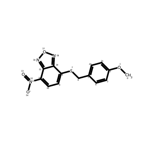 COc1ccc(CSc2ccc([N+](=O)[O-])c3nonc23)cc1